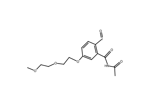 COCCOCCOc1ccc(I=O)c(C(=O)NC(C)=O)c1